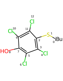 CCC(C)Sc1c(Cl)c(Cl)c(O)c(Cl)c1Cl